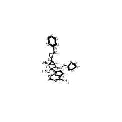 Nc1ncnn2c(C3(O)O[C@@H]4C(OCc5ccccc5)C4[C@H]3OCc3ccccc3)ccc12